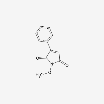 CON1C(=O)C=C(c2ccccc2)C1=O